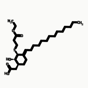 CCCCCCCCCCCCC/C=C1\CC[C@@H](CC(=O)O)[C@H](O)[C@H]1SCCC(=O)OCC